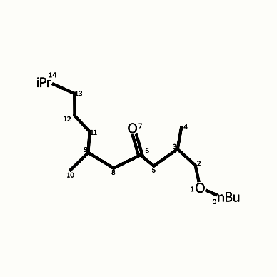 CCCCOCC(C)CC(=O)CC(C)CCCC(C)C